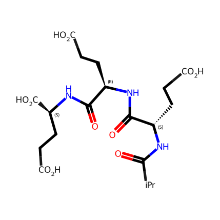 CC(C)C(=O)N[C@@H](CCC(=O)O)C(=O)N[C@H](CCC(=O)O)C(=O)N[C@@H](CCC(=O)O)C(=O)O